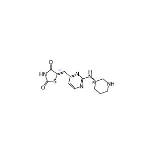 O=C1NC(=O)/C(=C/c2ccnc(N[C@@H]3CCCNC3)n2)S1